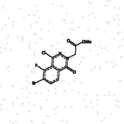 COC(=O)Cn1nc(Cl)c2c(F)c(Br)ccc2c1=O